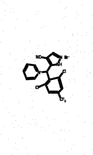 N#Cc1cn[nH]c1C(c1c(Cl)cc(C(F)(F)F)cc1Cl)[n+]1ccccc1.[Br-]